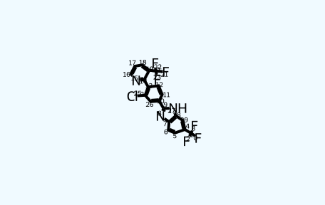 FC(F)(F)c1ccc2nc(-c3ccc(-c4ncccc4C(F)(F)F)c(Cl)c3)[nH]c2c1